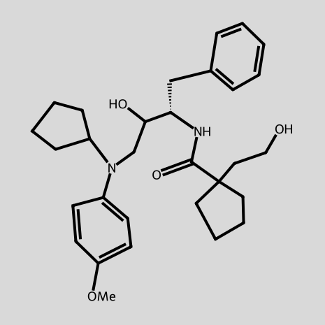 COc1ccc(N(CC(O)[C@H](Cc2ccccc2)NC(=O)C2(CCO)CCCC2)C2CCCC2)cc1